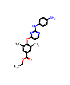 CCOC(=O)c1cc(C)c(Oc2ccnc(Nc3ccc(N)cc3)n2)c(C)c1